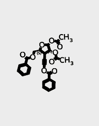 CC(=O)OC1O[C@H](COC(=O)c2ccccc2)C(C#COC(=O)c2ccccc2)[C@H]1OC(C)=O